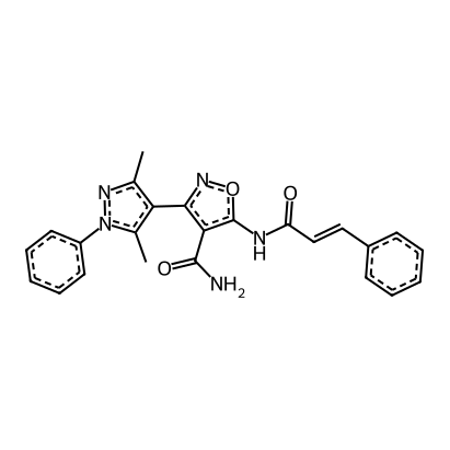 Cc1nn(-c2ccccc2)c(C)c1-c1noc(NC(=O)C=Cc2ccccc2)c1C(N)=O